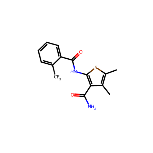 Cc1sc(NC(=O)c2ccccc2C(F)(F)F)c(C(N)=O)c1C